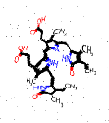 C=CC1=C(C)[C@H](CC2=N/C(=C\c3[nH]c(/C=C4\NC(=O)[C@@H](C)\C4=C\C)c(C)c3CCC(=O)O)C(CCC(=O)O)=C2C)NC1=O